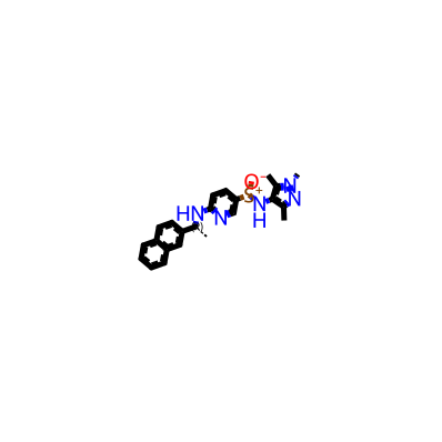 Cc1nn(C)c(C)c1N[S+]([O-])c1ccc(N[C@H](C)c2ccc3ccccc3c2)nc1